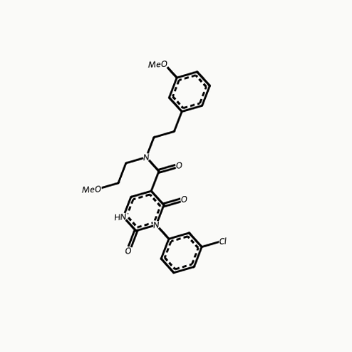 COCCN(CCc1cccc(OC)c1)C(=O)c1c[nH]c(=O)n(-c2cccc(Cl)c2)c1=O